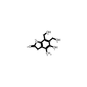 Cc1c(O)c(CO)c(CO)c2c1CC(=O)O2